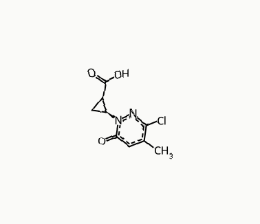 Cc1cc(=O)n([C@H]2CC2C(=O)O)nc1Cl